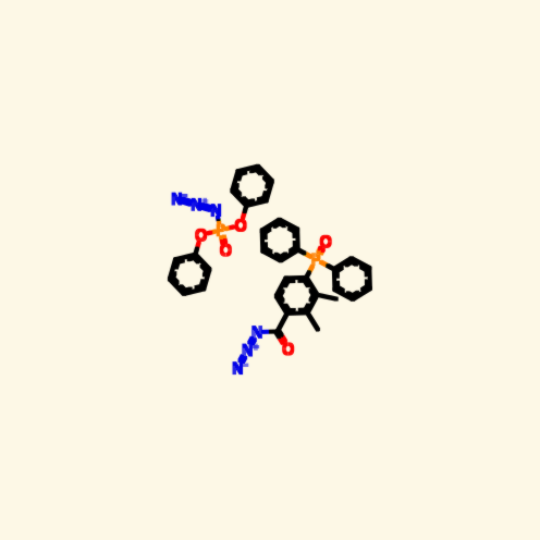 Cc1c(C(=O)N=[N+]=[N-])ccc(P(=O)(c2ccccc2)c2ccccc2)c1C.[N-]=[N+]=NP(=O)(Oc1ccccc1)Oc1ccccc1